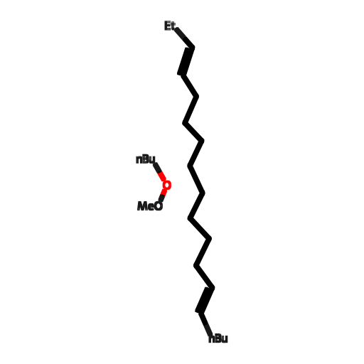 CCC=CCCCCCCCCC=CCCCC.CCCCOOC